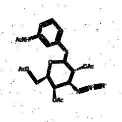 CC(=O)Nc1cccc(SC2O[C@H](COC(C)=O)[C@H](OC(C)=O)[C@H](N=[N+]=[N-])[C@H]2OC(C)=O)c1